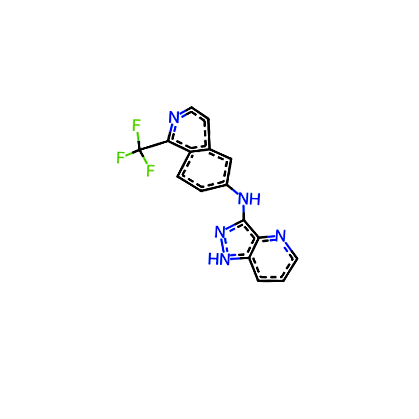 FC(F)(F)c1nccc2cc(Nc3n[nH]c4cccnc34)ccc12